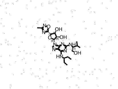 CCC(CC)Nc1nc(N[C@H](CO)C(C)C)nc2c1ncn2[C@@H]1O[C@H](c2nc(C)no2)[C@@H](O)[C@H]1O